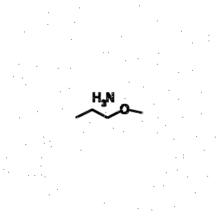 CCCOC.N